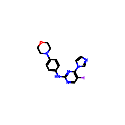 Ic1cnc(Nc2ccc(N3CCOCC3)cc2)nc1-n1ccnc1